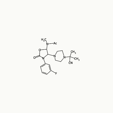 CC(=O)N(C)C1OC(=O)N(c2cccc(F)c2)C1N1CCN(C(C)(C)C#N)CC1